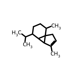 CC1=CCC23C(C)CCC(C(C)C)C2C13